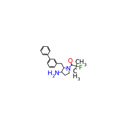 CC(C)(F)C(=O)N1CCC(N)C1Cc1cccc(-c2ccccc2)c1